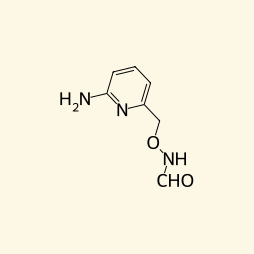 Nc1cccc(CONC=O)n1